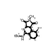 CN1C(=O)c2nc(NC(C)(C)C)c3cccc(F)c3c2C1=O